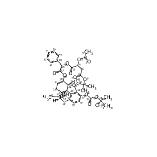 CC(=O)OC(CC(=O)OC(C)(C)C)C(=O)O[C@H](C(=O)OC1=CC[C@@]2(O)[C@H]3Cc4ccc(OC(=O)OC(C)(C)C)c5c4[C@@]2(CCN3C)[C@H]1O5)c1ccccc1